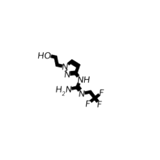 N/C(=N/CC(F)(F)F)Nc1ccn(CCO)n1